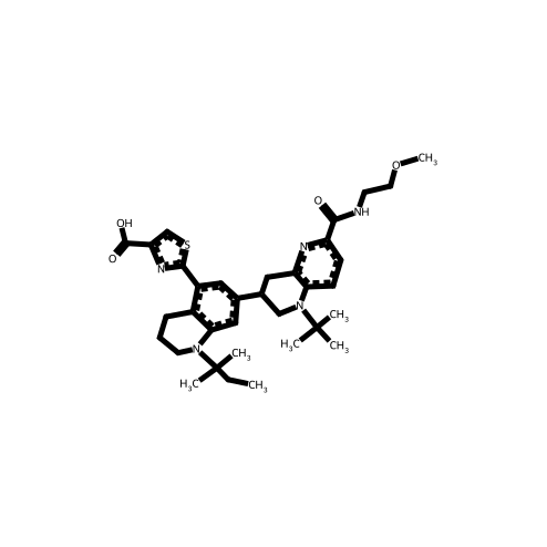 CCC(C)(C)N1CCCc2c(-c3nc(C(=O)O)cs3)cc(C3Cc4nc(C(=O)NCCOC)ccc4N(C(C)(C)C)C3)cc21